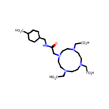 O=C(O)CN1CCN(CC(=O)O)CCN(CC(=O)NCC2CCC(C(=O)O)CC2)CCN(CC(=O)O)CC1